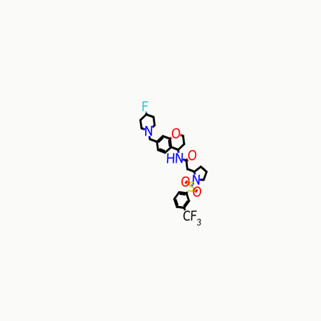 O=C(CC1CCCN1S(=O)(=O)c1cccc(C(F)(F)F)c1)NC1CCOc2cc(CN3CCC(F)CC3)ccc21